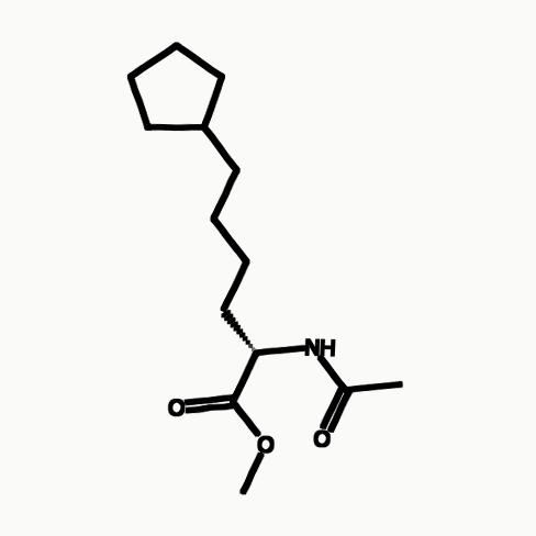 COC(=O)[C@H](CCCCC1CCCC1)NC(C)=O